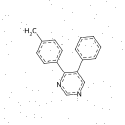 [CH2]c1ccc(-c2ncncc2-c2ccccc2)cc1